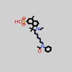 CC[N+]1=C(/C=C/C=C/C=C/N(C(C)=O)c2ccccc2)C(C)(C)c2c1ccc1c(C)cc(S(=O)(=O)O)cc21